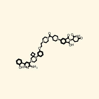 Nc1nnc(-c2ccccc2O)cc1N1CCN(c2cccc(OCCN3CCN(C(=O)C4CCN(c5ccc6c(c5)C(=O)N(C5CCC(=O)NC5=O)C6O)CC4)CC3)c2)C2(CCC2)C1